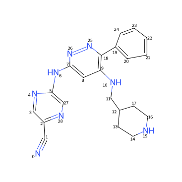 N#Cc1cnc(Nc2cc(NCC3CCNCC3)c(-c3ccccc3)nn2)cn1